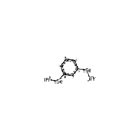 CC(C)[Se]c1[c]c([Se]C(C)C)ccc1